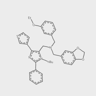 CCCCn1c(-c2ccccc2)nc(-c2ccsc2)c1CN(Cc1cccc(OCC)c1)Cc1ccc2c(c1)OCO2